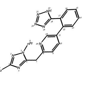 CCCn1nc(C(C)CC)nc1Cc1ccc(-c2ccccc2-c2nnn[nH]2)cn1